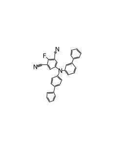 N#Cc1cc(N(c2ccc(-c3ccccc3)cc2)c2cccc(-c3ccccc3)c2)cc(C#N)c1F